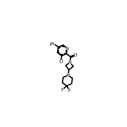 CC(C)c1cnc(C(=O)N2CC(N3CCC(F)(F)CC3)C2)c(Cl)c1